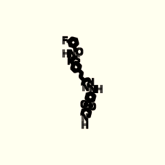 O=C(Nc1nc2ccc(C=Cc3cnc(Nc4ccc(S(=O)(=O)C5CCNCC5)cc4)nc3)cc2s1)c1cccc(F)c1